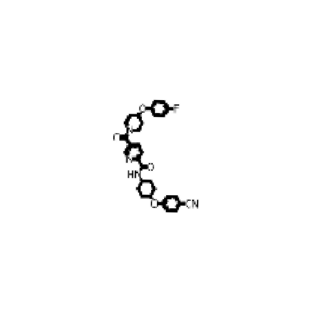 N#Cc1ccc(OC2CCC(NC(=O)c3ccc(C(=O)N4CCC(Oc5ccc(F)cc5)CC4)cn3)CC2)cc1